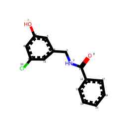 O=C(NCc1cc(O)cc(Cl)c1)c1ccccc1